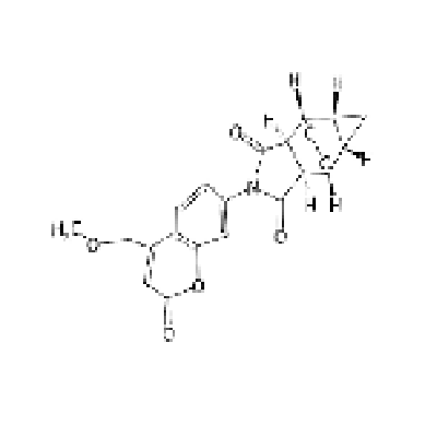 COCc1cc(=O)oc2cc(N3C(=O)[C@@H]4[C@@H]5CC[C@@H]([C@@H]6C[C@@H]65)[C@@H]4C3=O)ccc12